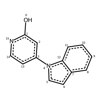 Oc1cc(-n2ccc3c[c]ccc32)ccn1